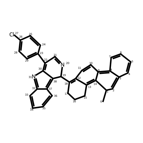 CC1C=c2ccccc2=c2ccc3c(c21)CCCC=3C1N=CC(c2ccc(Cl)cc2)=C2N=c3c[c]ccc3=C21